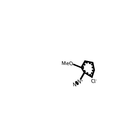 COc1ccccc1[N+]#N.[Cl-]